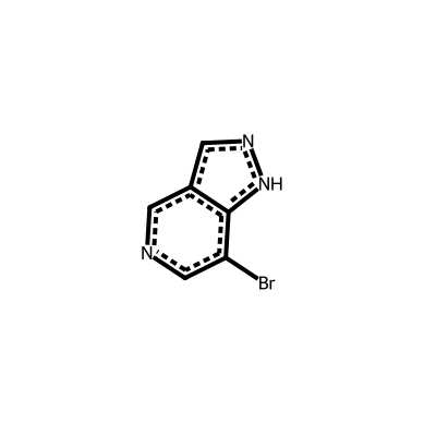 Brc1cncc2cn[nH]c12